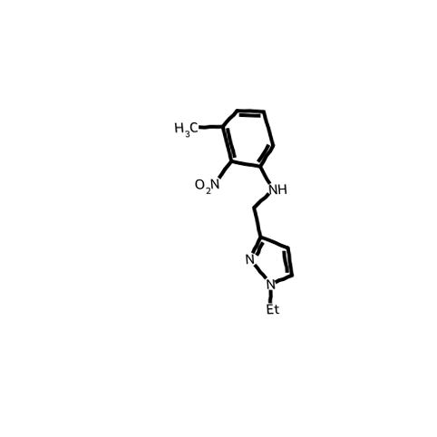 CCn1ccc(CNc2cccc(C)c2[N+](=O)[O-])n1